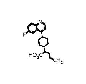 C=CCC(C(=O)O)[C@H]1CC[C@@H](c2ccnc3ccc(F)cc32)CC1